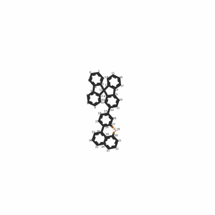 c1ccc2c(c1)-c1ccccc1C21c2ccccc2-c2ccc(-c3ccc4c(c3)Sc3cccc5cccc-4c35)cc21